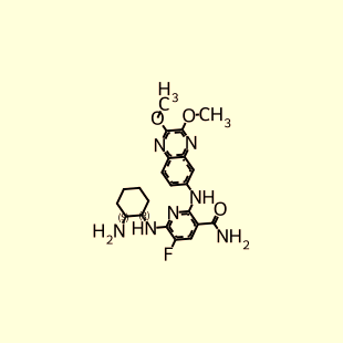 COc1nc2ccc(Nc3nc(N[C@@H]4CCCC[C@@H]4N)c(F)cc3C(N)=O)cc2nc1OC